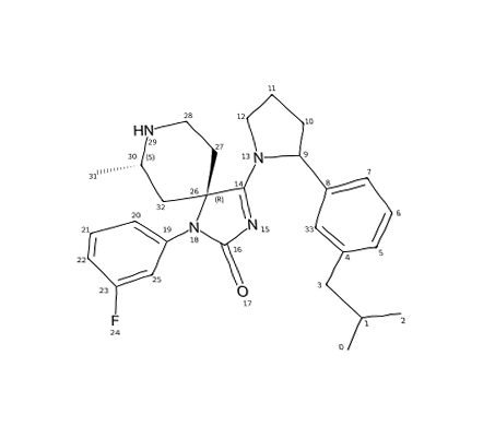 CC(C)Cc1cccc(C2CCCN2C2=NC(=O)N(c3cccc(F)c3)[C@@]23CCN[C@@H](C)C3)c1